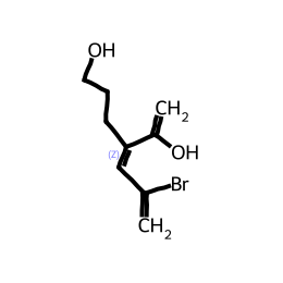 C=C(Br)/C=C(/CCCO)C(=C)O